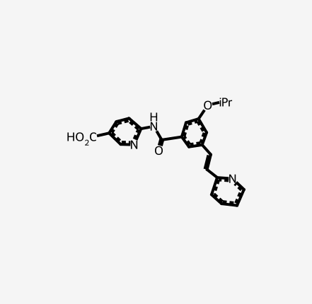 CC(C)Oc1cc(/C=C/c2ccccn2)cc(C(=O)Nc2ccc(C(=O)O)cn2)c1